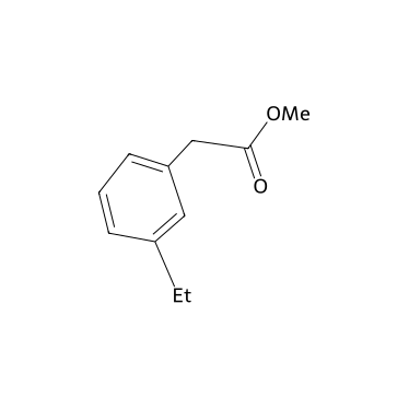 CCc1cccc(CC(=O)OC)c1